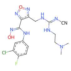 CN(C)CCN/C(=N\C#N)NCc1nonc1/C(=N/O)Nc1ccc(F)c(Cl)c1